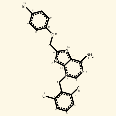 Nc1ncn(Cc2c(Cl)cccc2Cl)c2nc(COc3ccc(Br)cc3)nc1-2